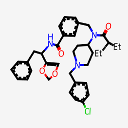 CCC(CC)C(=O)N(Cc1cccc(C(=O)NC(Cc2ccccc2)C2=COCO2)c1)C1CCN(Cc2ccc(Cl)cc2)CC1